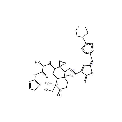 CC(NC1CC2[C@](C)(CC[C@@H](O)[C@@]2(C)CO)C(/C=C/C2=CC(=C\c3cnc(N4CCOCC4)nc3)/OC2=O)C12CO2)C(=O)NC1=NCC=N1